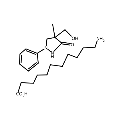 CC1(CO)CN(c2ccccc2)NC1=O.NCCCCCCCCCCC(=O)O